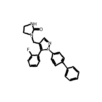 O=C1NCCN1Cc1cnn(-c2ccc(-c3ccccc3)cc2)c1-c1ccccc1F